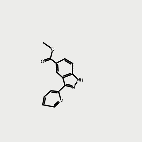 COC(=O)c1ccc2[nH]nc(-c3ccccn3)c2c1